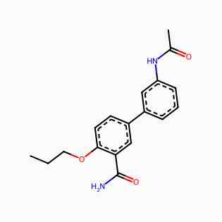 CCCOc1ccc(-c2cccc(NC(C)=O)c2)cc1C(N)=O